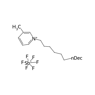 CCCCCCCCCCCCCCCC[n+]1cccc(C)c1.[F][Sb-]([F])([F])([F])([F])[F]